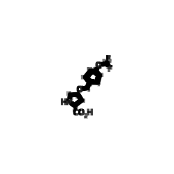 O=C(O)[C@@H]1C[C@@H](OCc2ccc(OC(F)F)cc2)CN1